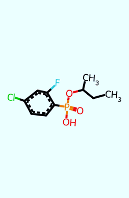 CCC(C)OP(=O)(O)c1ccc(Cl)cc1F